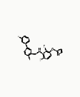 Cc1ccc(-c2cccc(F)c2)cc1CNc1c(F)ccc(OC2=NC=C2)c1F